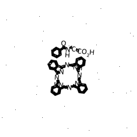 O=[C](O)[Cu][CH2]NC(=O)c1ccccc1.c1ccc2c(c1)-c1nc-2nc2[nH]c(nc3nc(nc4[nH]c(n1)c1ccccc41)-c1ccccc1-3)c1ccccc21